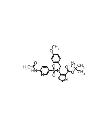 COc1ccc(CN(c2scnc2C(=O)OC(C)(C)C)S(=O)(=O)c2ccc(NC(C)=O)nc2)cc1